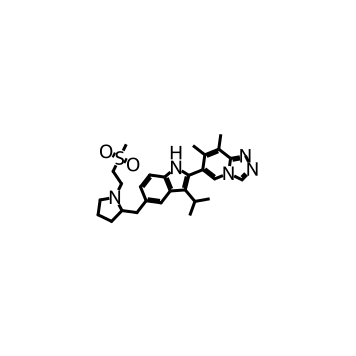 Cc1c(-c2[nH]c3ccc(CC4CCCN4CCS(C)(=O)=O)cc3c2C(C)C)cn2cnnc2c1C